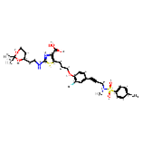 Cc1ccc(S(=O)(=O)N(C)CC#Cc2ccc(OCCCc3sc(NCCC4CCOC(C)(C)O4)nc3C(=O)O)c(F)c2)cc1